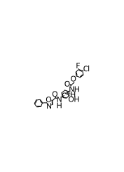 O=C(COc1ccc(Cl)c(F)c1)NC12CCC(NC(=O)c3cnc(-c4ccccc4)o3)(CC1)C[C@@H]2O